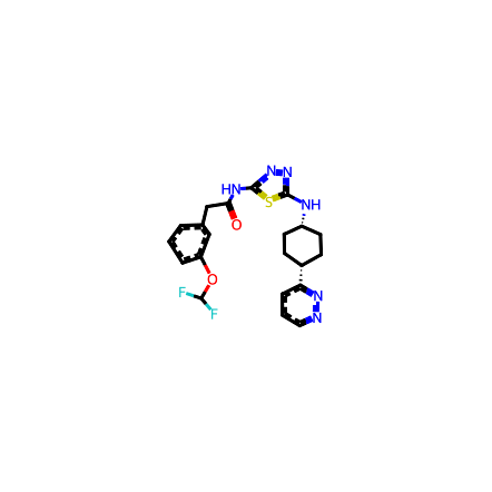 O=C(Cc1cccc(OC(F)F)c1)Nc1nnc(N[C@H]2CC[C@@H](c3cccnn3)CC2)s1